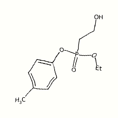 CCOP(=O)(CCO)Oc1ccc(C)cc1